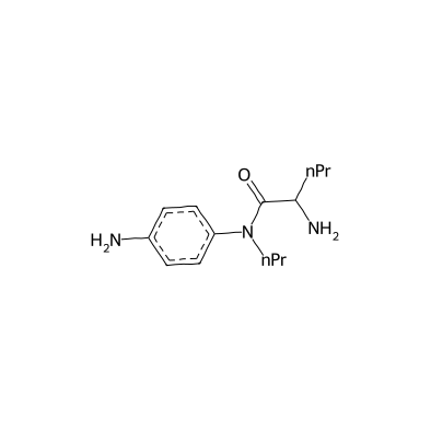 CCCC(N)C(=O)N(CCC)c1ccc(N)cc1